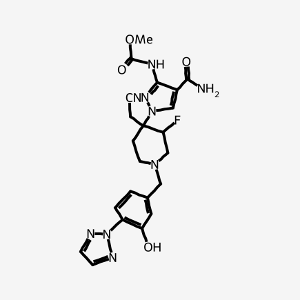 COC(=O)Nc1nn(C2(CC#N)CCN(Cc3ccc(-n4nccn4)c(O)c3)CC2F)cc1C(N)=O